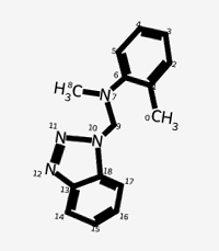 Cc1ccccc1N(C)Cn1nnc2ccccc21